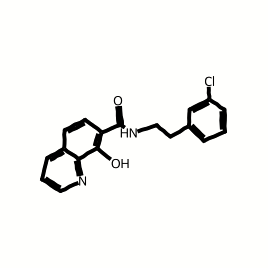 O=C(NCCc1cccc(Cl)c1)c1ccc2cccnc2c1O